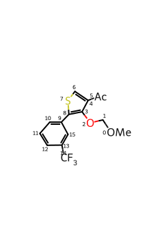 COCOc1c(C(C)=O)csc1-c1cccc(C(F)(F)F)c1